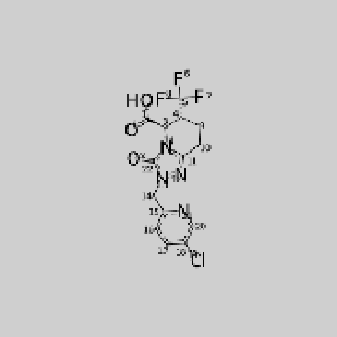 O=C(O)[C@H]1[C@H](C(F)(F)F)CCc2nn(Cc3ccc(Cl)cn3)c(=O)n21